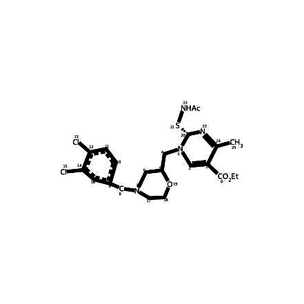 CCOC(=O)C1=CN(CC2CN(Cc3ccc(Cl)c(Cl)c3)CCO2)[C@H](SNC(C)=O)N=C1C